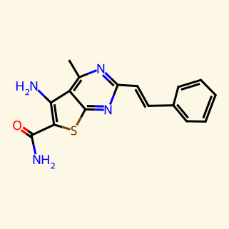 Cc1nc(C=Cc2ccccc2)nc2sc(C(N)=O)c(N)c12